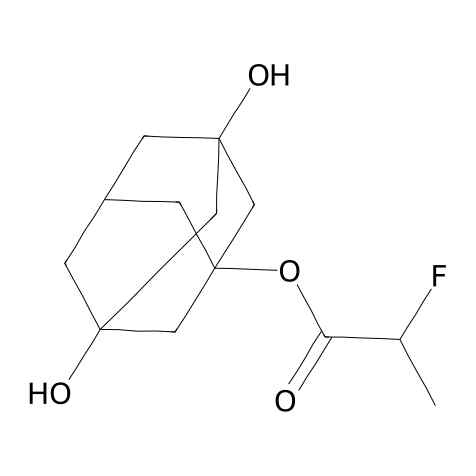 CC(F)C(=O)OC12CC3CC(O)(CC(O)(C3)C1)C2